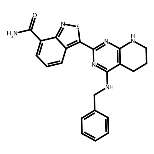 NC(=O)c1cccc2c(-c3nc4c(c(NCc5ccccc5)n3)CCCN4)snc12